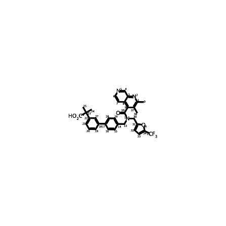 Cc1nc2cnccc2c(C(=O)N(Cc2ccc(-c3cccc(C(C)(C)C(=O)O)c3)cc2)Cc2ccc(C(F)(F)F)o2)c1C